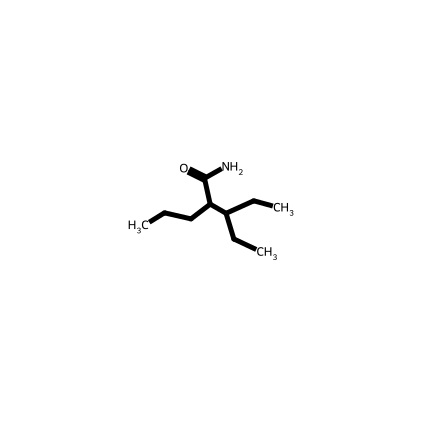 CCCC(C(N)=O)C(CC)CC